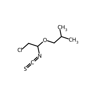 CC(C)COC(CCl)N=C=S